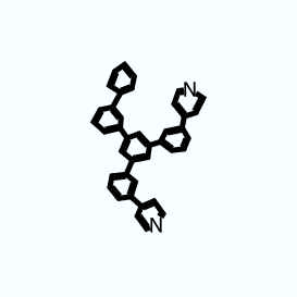 c1ccc(-c2cccc(-c3cc(-c4cccc(-c5ccncc5)c4)cc(-c4cccc(-c5ccncc5)c4)c3)c2)cc1